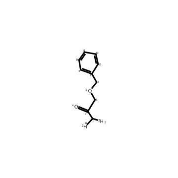 [2H]C([2H])C(=O)COCc1ccccc1